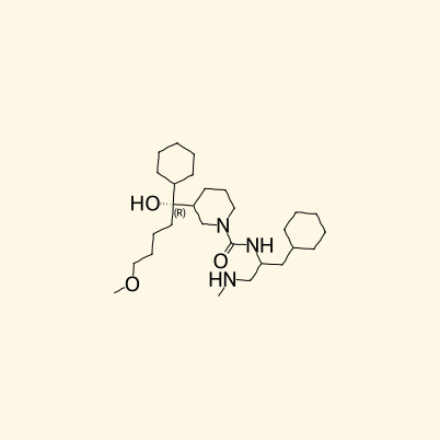 CNCC(CC1CCCCC1)NC(=O)N1CCCC([C@@](O)(CCCCOC)C2CCCCC2)C1